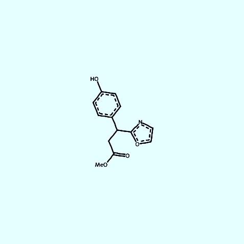 COC(=O)CC(c1ccc(O)cc1)c1ncco1